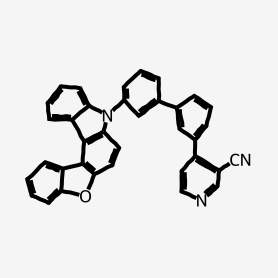 N#Cc1cnccc1-c1cccc(-c2cccc(-n3c4ccccc4c4c5c(ccc43)oc3ccccc35)c2)c1